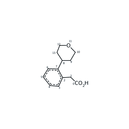 O=C(O)Cc1ccccc1C1CCOCC1